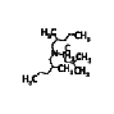 CCCC(C)CN(CC(C)CCC)[C@@H](C)CC(C)C